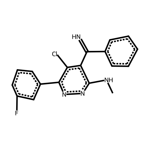 CNc1nnc(-c2cccc(F)c2)c(Cl)c1C(=N)c1ccccc1